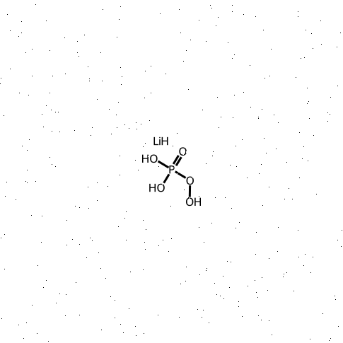 O=P(O)(O)OO.[LiH]